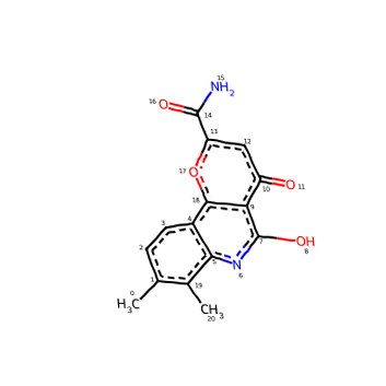 Cc1ccc2c(nc(O)c3c(=O)cc(C(N)=O)oc32)c1C